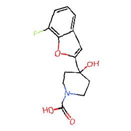 O=C(O)N1CCC(O)(c2cc3cccc(F)c3o2)CC1